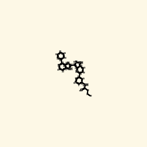 CCCC(=O)Nc1cncc(-c2ccc3[nH]nc(-c4nc5c(-c6ccccn6)nccc5[nH]4)c3n2)c1